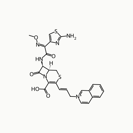 CON=C(C(=O)N[C@@H]1C(=O)N2C(C(=O)O)=C(C=CC[n+]3ccc4ccccc4c3)SC[C@H]12)c1csc(N)n1